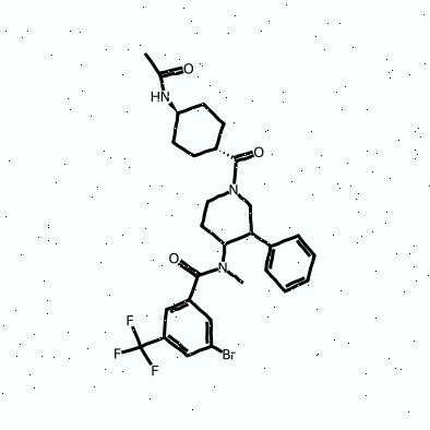 CC(=O)N[C@H]1CC[C@H](C(=O)N2CCC(N(C)C(=O)c3cc(Br)cc(C(F)(F)F)c3)C(c3ccccc3)C2)CC1